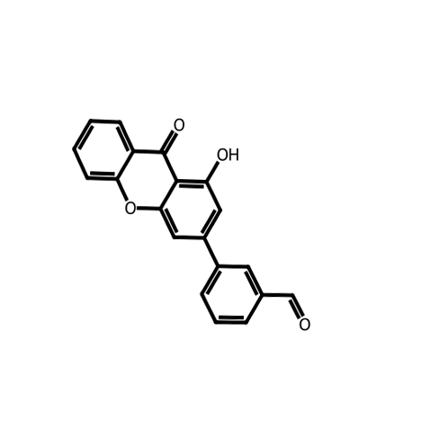 O=Cc1cccc(-c2cc(O)c3c(=O)c4ccccc4oc3c2)c1